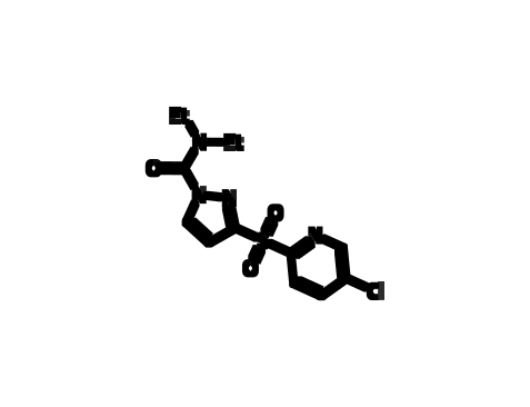 CCN(CC)C(=O)n1ccc(S(=O)(=O)c2ccc(Cl)cn2)n1